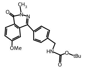 COc1ccc2c(=O)n(C)nc(-c3ccc(CNC(=O)OC(C)(C)C)cc3)c2c1